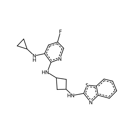 Fc1cnc(NC2CC(Nc3nc4ccccc4s3)C2)c(NC2CC2)c1